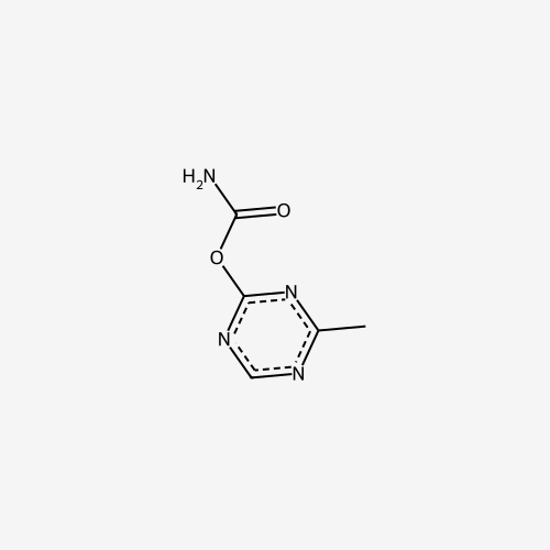 Cc1ncnc(OC(N)=O)n1